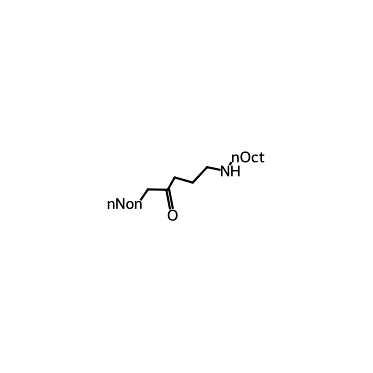 CCCCCCCCCCC(=O)CCCNCCCCCCCC